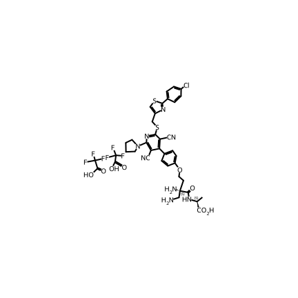 C[C@H](NC(=O)[C@@](N)(CN)CCOc1ccc(-c2c(C#N)c(SCc3csc(-c4ccc(Cl)cc4)n3)nc(N3CCCC3)c2C#N)cc1)C(=O)O.O=C(O)C(F)(F)F.O=C(O)C(F)(F)F